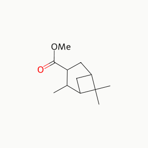 COC(=O)C1CC2CC(C1C)C2(C)C